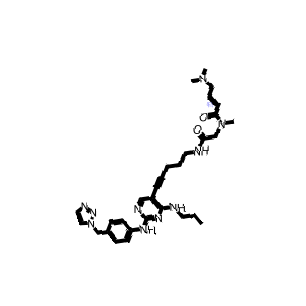 CCCNc1nc(Nc2ccc(Cn3ccnn3)cc2)ncc1C#CCCCNC(=O)CN(C)C(=O)/C=C/CN(C)C